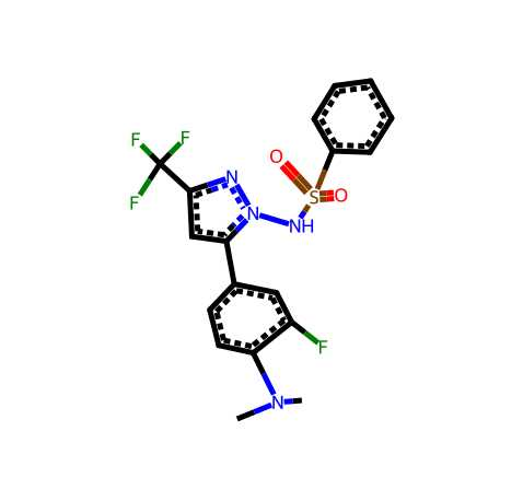 CN(C)c1ccc(-c2cc(C(F)(F)F)nn2NS(=O)(=O)c2ccccc2)cc1F